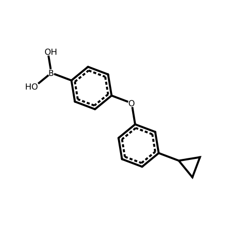 OB(O)c1ccc(Oc2cccc(C3CC3)c2)cc1